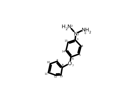 NN(N)c1ccc(Oc2ccccc2)cc1